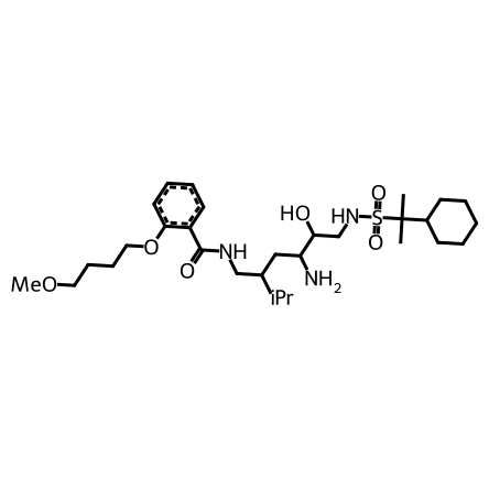 COCCCCOc1ccccc1C(=O)NCC(CC(N)C(O)CNS(=O)(=O)C(C)(C)C1CCCCC1)C(C)C